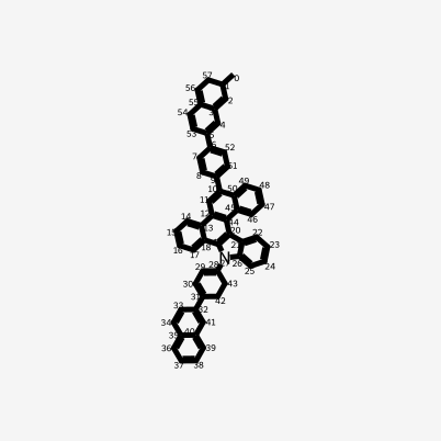 CC1C=c2cc(-c3ccc(-c4cc5c6ccccc6c6c(c7ccccc7n6C6=CC=C(c7ccc8ccccc8c7)CC6)c5c5ccccc45)cc3)ccc2=CC1